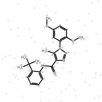 COc1ccc(OC)c(-n2nnc(C(=O)Nc3ccccc3C(C)(C)C)c2C)c1